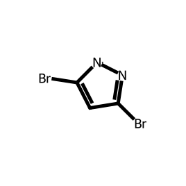 BrC1=CC(Br)=N[N]1